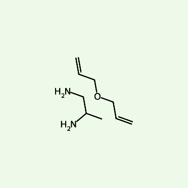 C=CCOCC=C.CC(N)CN